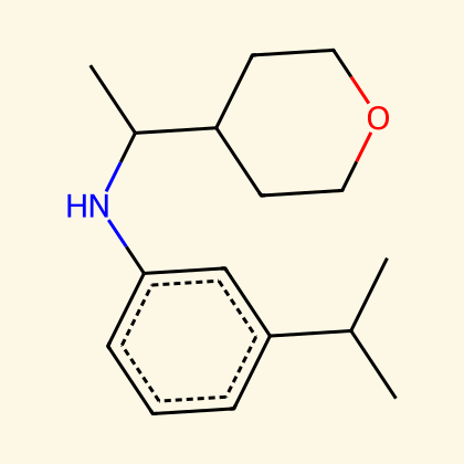 CC(C)c1cccc(NC(C)C2CCOCC2)c1